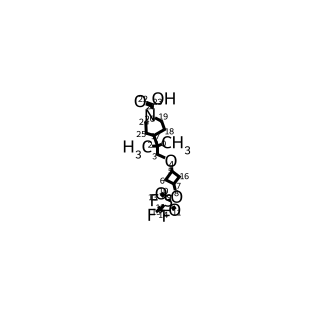 CC(C)(COC1CC(OS(=O)(=O)C(F)(F)F)C1)C1CCN(C(=O)O)CC1